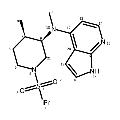 CC(C)S(=O)(=O)N1CC[C@@H](C)[C@@H](N(C)c2ccnc3[nH]ccc23)C1